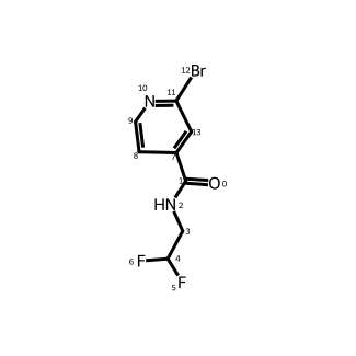 O=C(NCC(F)F)c1ccnc(Br)c1